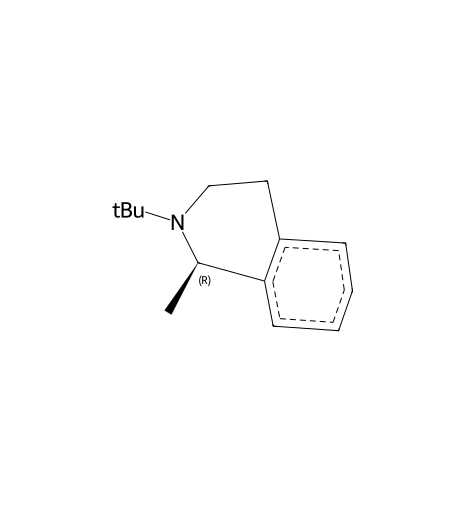 C[C@@H]1c2ccccc2CCN1C(C)(C)C